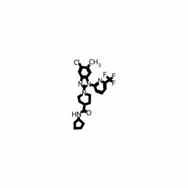 Cc1cc2c(cc1Cl)nc(N1CCC(C(=O)NC3CCCC3)CC1)n2-c1cccc(C(F)(F)F)n1